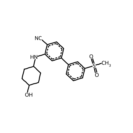 CS(=O)(=O)c1cccc(-c2ccc(C#N)c(NC3CCC(O)CC3)c2)c1